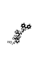 O=C(CO/N=C(/C(=O)NC1C(=O)N2C(C(=O)O)=CCS[C@H]12)c1cscn1)OC(c1ccccc1)c1ccccc1